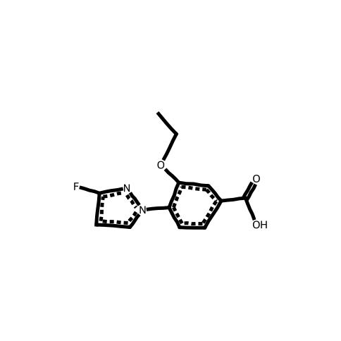 CCOc1cc(C(=O)O)ccc1-n1ccc(F)n1